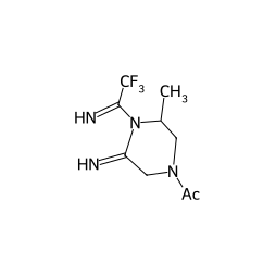 CC(=O)N1CC(=N)N(C(=N)C(F)(F)F)C(C)C1